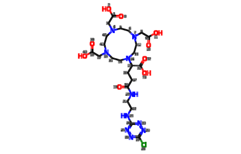 O=C(O)CN1CCN(CC(=O)O)CCN(C(CCC(=O)NCCNc2nnc(Cl)nn2)C(=O)O)CCN(CC(=O)O)CC1